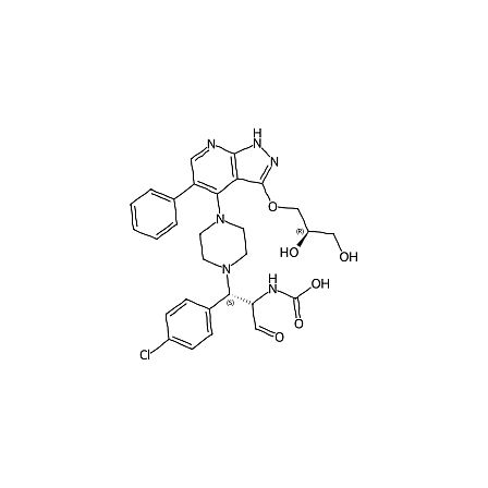 O=CC(NC(=O)O)[C@H](c1ccc(Cl)cc1)N1CCN(c2c(-c3ccccc3)cnc3[nH]nc(OC[C@H](O)CO)c23)CC1